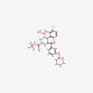 Cc1c(F)cccc1[C@@H]1[C@@H](C(=O)O)CN(C(=O)OC(C)(C)C)C[C@@H]1C(=O)c1cccc(OC2CCCCO2)c1